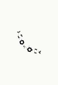 CC(C)N1CCN(c2ccc(OBOc3ccc(N4CCN(C(C)C)CC4)cc3)cc2)CC1